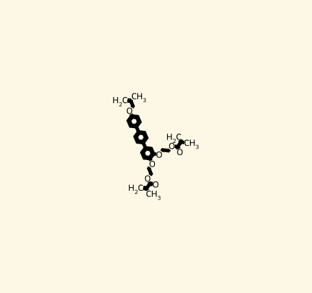 C=C(C)COc1ccc(-c2ccc(-c3ccc(OCCOC(=O)C(=C)C)c(OCCOC(=O)C(=C)C)c3)cc2)cc1